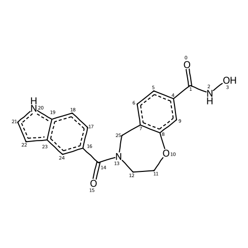 O=C(NO)c1ccc2c(c1)OCCN(C(=O)c1ccc3[nH]ccc3c1)C2